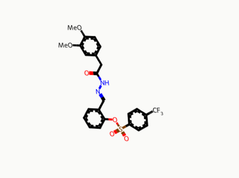 COc1ccc(CC(=O)NN=Cc2ccccc2OS(=O)(=O)c2ccc(C(F)(F)F)cc2)cc1OC